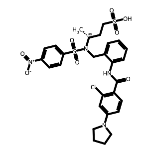 C[C@H](CCS(=O)(=O)O)N(Cc1ccccc1NC(=O)c1ccc(N2CCCC2)cc1Cl)S(=O)(=O)c1ccc([N+](=O)[O-])cc1